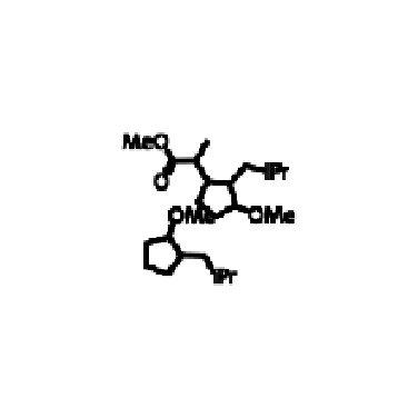 COC(=O)C(C)C1CCC(OC)C1CC(C)C.COC1CCCC1CC(C)C